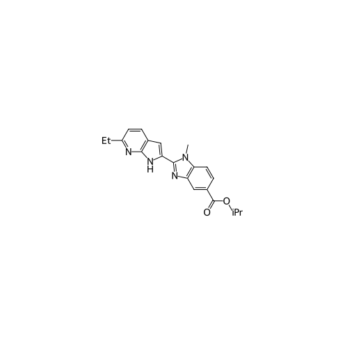 CCc1ccc2cc(-c3nc4cc(C(=O)OC(C)C)ccc4n3C)[nH]c2n1